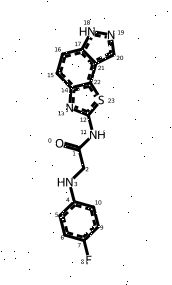 O=C(CNc1ccc(F)cc1)Nc1nc2ccc3[nH]ncc3c2s1